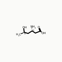 C[C@@H](O)C[C@H](N)CC(=O)O